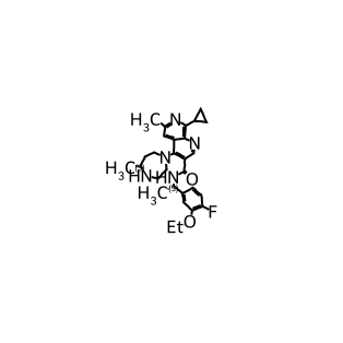 CCOc1cc([C@H](C)NC(=O)c2cnc3c(C4CC4)nc(C)cc3c2N2CCN[C@@H](C)CC2)ccc1F